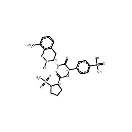 CS(=O)(=O)N1CCC[C@@H]1C(=O)N[C@@H](C(=O)N[C@H]1Cc2cccc(C(=O)O)c2OB1O)c1ccc(P(=O)(O)O)cc1